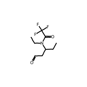 CCC(CC=O)N(CC)C(=O)C(F)(F)F